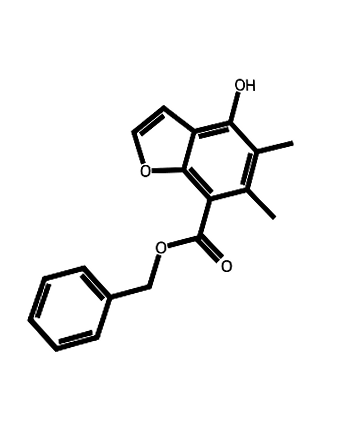 Cc1c(C)c(C(=O)OCc2ccccc2)c2occc2c1O